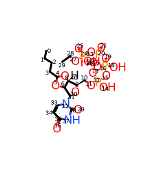 CCCCC1OC2[C@@H](O1)[C@@H](COP(=O)(O)OP(=O)(O)OP(=O)(O)OP(=O)(O)OCC)O[C@H]2n1ccc(=O)[nH]c1=O